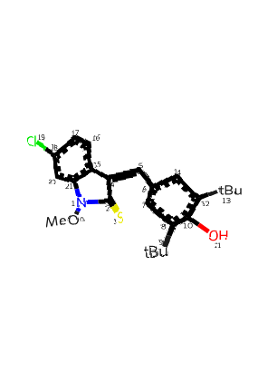 CON1C(=S)C(=Cc2cc(C(C)(C)C)c(O)c(C(C)(C)C)c2)c2ccc(Cl)cc21